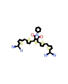 N#CC(C#N)=c1cc/c(=C/c2ccc(-c3sc(-c4ccc(/C=c5/ccc(=C(C#N)C#N)s5)s4)c4c3C(=O)N(c3ccccc3)C4=O)s2)s1